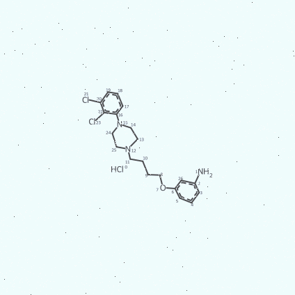 Cl.Nc1cccc(OCCCCN2CCN(c3cccc(Cl)c3Cl)CC2)c1